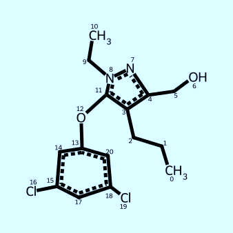 CCCc1c(CO)nn(CC)c1Oc1cc(Cl)cc(Cl)c1